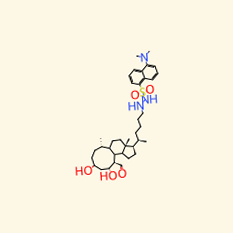 C[C@H](CCCCNNS(=O)(=O)c1cccc2c(N(C)C)cccc12)[C@H]1CCC2C3C(CC[C@@]21C)[C@@H](C)CC[C@H](O)C[C@@H](O)[C@@H]3C=O